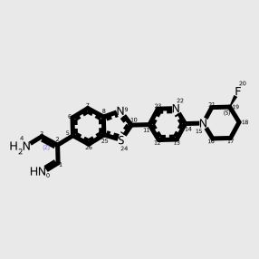 N=C/C(=C\N)c1ccc2nc(-c3ccc(N4CCC[C@H](F)C4)nc3)sc2c1